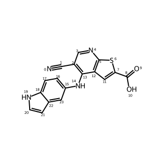 N#Cc1cnc2sc(C(=O)O)cc2c1Nc1ccc2[nH]ccc2c1